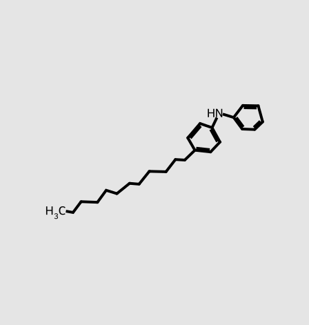 CCCCCCCCCCCCc1ccc(Nc2ccccc2)cc1